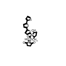 CC1CC[C@@H](C)[N+]1(C(=O)O[N+]1(O)C(=O)CCC1=O)c1ccc(-c2ccc(-c3cccs3)s2)s1